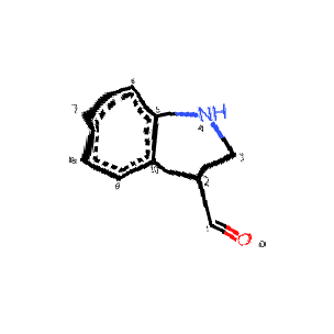 O=CC1CNc2ccccc21